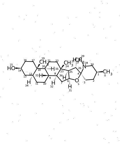 C[C@H]1CC[C@@]2(O[C@H]3C[C@H]4[C@@H]5CC[C@H]6C[C@@H](O)CC[C@]6(C)[C@H]5CC[C@]4(C)[C@H]3[C@@H]2C)N(C)C1